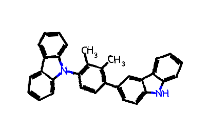 Cc1c(-c2ccc3[nH]c4ccccc4c3c2)ccc(-n2c3ccccc3c3ccccc32)c1C